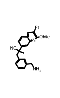 CCc1cc2ccc(C(C)(C#N)Cc3cccc(CN)c3)cc2nc1OC